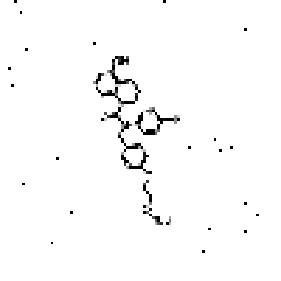 CCCCOCCOc1ccc(CN(C(=O)C2CCCc3c(O)cccc32)c2ccc(C(C)C)nc2)cn1